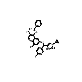 CC[C@@H](Nc1c(C#N)cnc2c(Cl)cc(NC(C3=CN(C4CC4)NN3)c3ccc(F)nc3)cc12)c1ccccc1